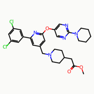 COC(=O)CC1CCN(Cc2cc(Oc3cnc(N4CCCCC4)nc3)nc(-c3cc(Cl)cc(Cl)c3)c2)CC1